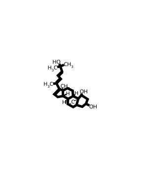 CC(=CC=CC(C)(C)O)C1=CC[C@H]2[C@@H]3CCC4CC(O)CC(O)[C@]4(C)[C@H]3CC[C@]12C